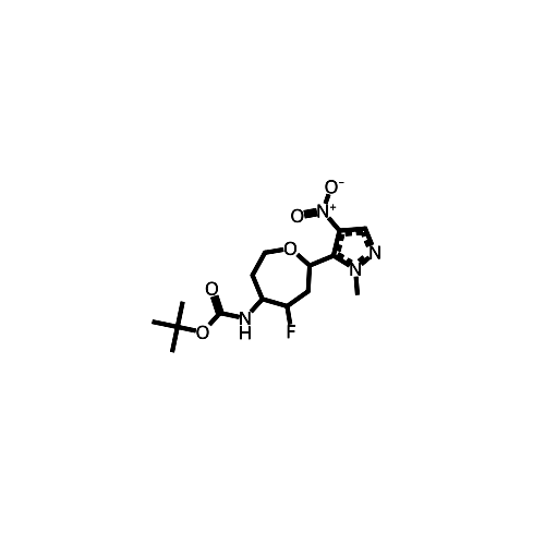 Cn1ncc([N+](=O)[O-])c1C1CC(F)C(NC(=O)OC(C)(C)C)CCO1